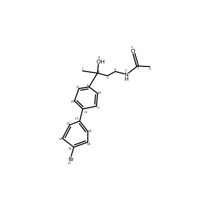 CC(=O)NCCC(C)(O)c1ccc(-c2ccc(Br)cc2)cc1